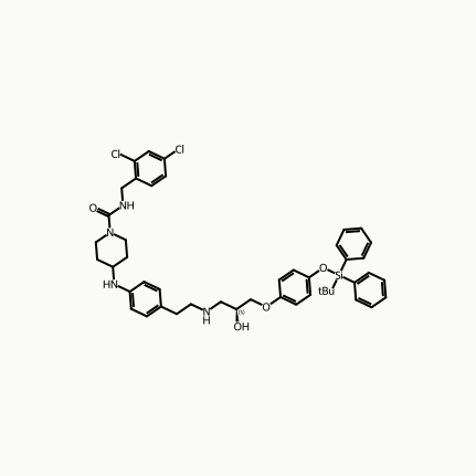 CC(C)(C)[Si](Oc1ccc(OC[C@@H](O)CNCCc2ccc(NC3CCN(C(=O)NCc4ccc(Cl)cc4Cl)CC3)cc2)cc1)(c1ccccc1)c1ccccc1